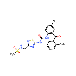 COc1ccccc1C(=O)c1cc(C)ccc1NC(=O)Nc1nc(CNS(C)(=O)=O)ns1